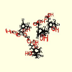 Cc1cc(CC(CCOCCOCCC(Cc2cc(C)cc(C(C)(C)C)c2O)C(=O)O)C(=O)O)c(O)c(C(C)(C)C)c1.Cc1cc(CCC(=O)O)cc(C(C)(C)C)c1O.Cc1cc(CCC(=O)O)cc(C(C)(C)C)c1O